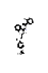 C=C(/N=C(/NCCNc1ccc([C@@H]2CN2)cn1)c1ccccc1CC)c1ccccc1CC